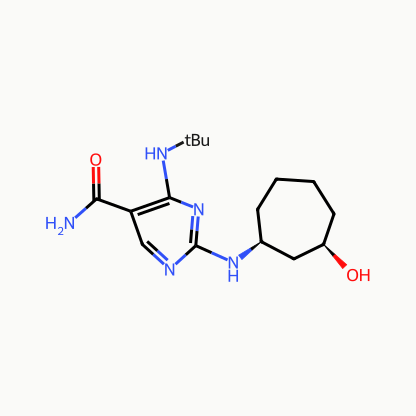 CC(C)(C)Nc1nc(N[C@H]2CCCC[C@@H](O)C2)ncc1C(N)=O